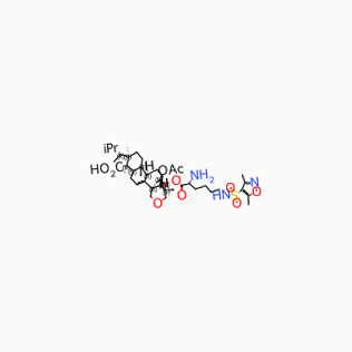 CC(=O)O[C@@H]1C[C@@]23COC[C@](C)([C@@H]2CC[C@H]2C3=CC[C@@]3(C)[C@H](C(=O)O)[C@@](C)([C@H](C)C(C)C)CC[C@]23C)[C@H]1OC(=O)C(N)CCCCNS(=O)(=O)c1c(C)noc1C